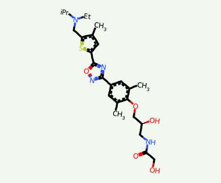 CCN(Cc1sc(-c2nc(-c3cc(C)c(OC[C@@H](O)CNC(=O)CO)c(C)c3)no2)cc1C)C(C)C